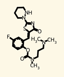 CN(C)CCCN(C)C(=O)Oc1ccc(F)cc1/C=C1\SC(N2CCCCN2)=NC1=O